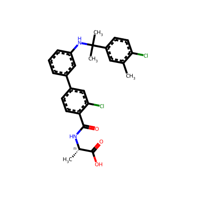 Cc1cc(C(C)(C)Nc2cccc(-c3ccc(C(=O)N[C@@H](C)C(=O)O)c(Cl)c3)c2)ccc1Cl